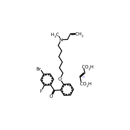 C=CCN(C)CCCCCCOc1ccccc1C(=O)c1ccc(Br)cc1F.O=C(O)/C=C/C(=O)O